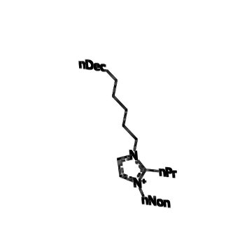 CCCCCCCCCCCCCCCn1cc[n+](CCCCCCCCC)c1CCC